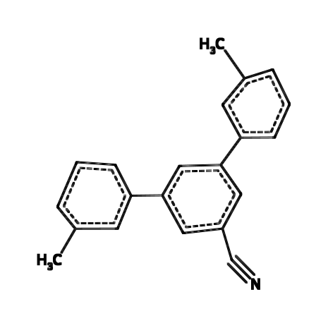 Cc1cccc(-c2cc(C#N)cc(-c3cccc(C)c3)c2)c1